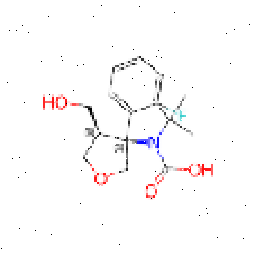 CC(C)(C)N(C(=O)O)[C@@]1(c2ccccc2F)COC[C@H]1CO